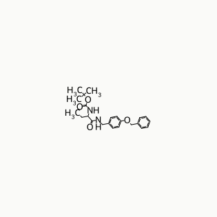 CCC(NC(=O)OC(C)(C)C)C(=O)NCc1ccc(OCc2ccccc2)cc1